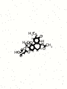 COc1c(OC(=O)CS(=O)(=O)O)cc2c(c1OC)-c1ccc(SC)c(=O)cc1[C@@H](NC(C)=O)CC2